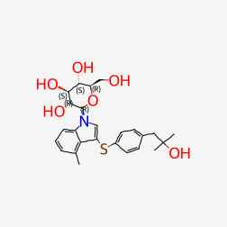 Cc1cccc2c1c(Sc1ccc(CC(C)(C)O)cc1)cn2[C@@H]1O[C@H](CO)[C@@H](O)[C@H](O)[C@H]1O